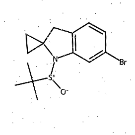 CC(C)(C)[S+]([O-])N1c2cc(Br)ccc2CC12CC2